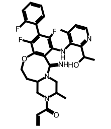 C=CC(=O)N1CC2CCOc3c(F)c(-c4ccccc4F)c(F)c(Nc4c(C)ccnc4C(C)O)c3C(=N)N2CC1C